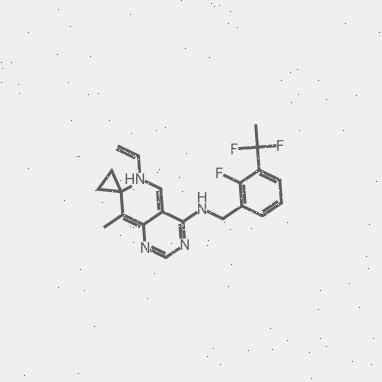 C=CN/C=c1/c(NCc2cccc(C(C)(F)F)c2F)ncn/c1=C(\C)C1(C)CC1